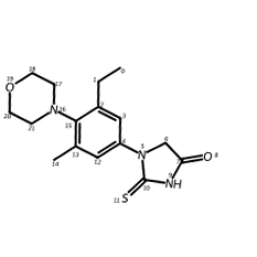 CCc1cc(N2CC(=O)NC2=S)cc(C)c1N1CCOCC1